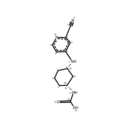 N#Cc1cc(N[C@H]2CCC[C@@H](NC(=O)O)C2)ccn1